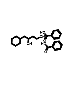 O=C(O)c1ccccc1.O=C(O)c1ccccc1.OCCC(O)CC1CCCCC1